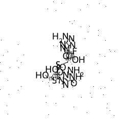 Nc1nc2c(ncn2[C@@H]2S[C@H](CO)C[C@H]2OP(O)(=S)OCC[C@H]2O[C@@H](n3nnc4c(N)ncnc43)[C@@H](F)[C@@H]2O)c(=O)[nH]1